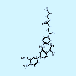 COc1cc(-c2ccc3c(c2)Nc2ccc(C(C)CCC(=O)NCCO)cc2NC3=O)ccc1[N+](=O)[O-]